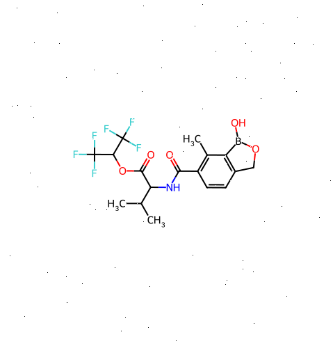 Cc1c(C(=O)NC(C(=O)OC(C(F)(F)F)C(F)(F)F)C(C)C)ccc2c1B(O)OC2